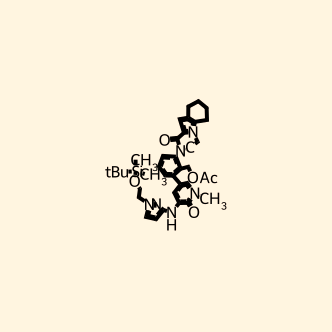 CC(=O)OCc1c(-c2cc(Nc3ccn(CCO[Si](C)(C)C(C)(C)C)n3)c(=O)n(C)c2)cccc1N1CCn2c(cc3c2CCCC3)C1=O